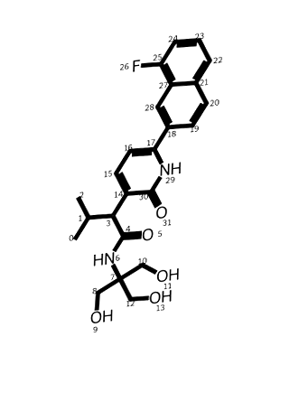 CC(C)C(C(=O)NC(CO)(CO)CO)c1ccc(-c2ccc3cccc(F)c3c2)[nH]c1=O